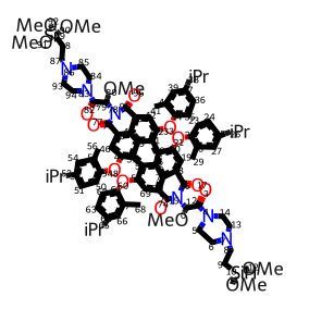 COC(C(=O)N1CCN(CC[SiH](OC)OC)CC1)N1C(=O)c2cc(Oc3ccc(C(C)C)cc3C)c3c4c(Oc5ccc(C(C)C)cc5C)cc5c6c(cc(Oc7ccc(C(C)C)cc7C)c(c7c(Oc8ccc(C(C)C)cc8C)cc(c2c37)C1=O)c64)C(=O)N(C(OC)C(=O)N1CCN(CC[Si](OC)(OC)OC)CC1)C5=O